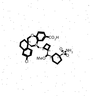 COC([C@@H]1CCC[C@H](S(N)(=O)=O)C1)[C@@H]1CC[C@H]1CN1C[C@@]2(CCCc3cc(Cl)ccc32)COc2ccc(C(=O)O)cc21